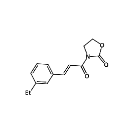 CCc1cccc(/C=C/C(=O)N2CCOC2=O)c1